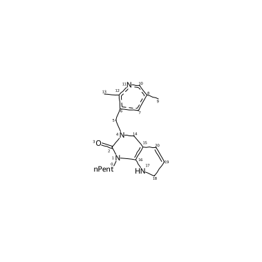 CCCCCN1C(=O)N(Cc2cc(C)cnc2C)CC2=C1NCC=C2